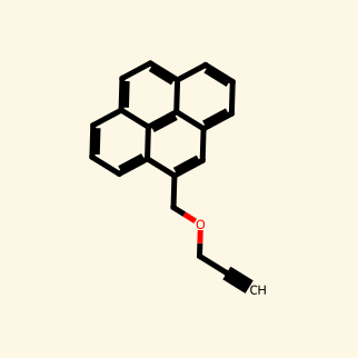 C#CCOCc1cc2cccc3ccc4cccc1c4c32